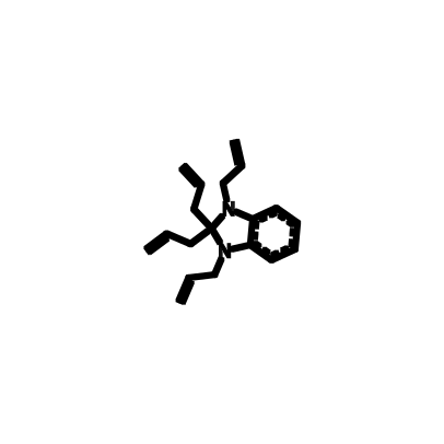 C=CCN1c2ccccc2N(CC=C)C1(CC=C)CC=C